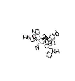 CCOc1ncccc1C1C(=O)[N+](C(=O)OC2CNc3ccccc32)(S(=O)(=O)c2ccc(OC)cc2OC)CC(C#N)C1N1CCNCC1